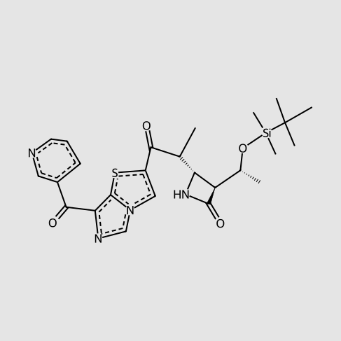 CC(C(=O)c1cn2cnc(C(=O)c3cccnc3)c2s1)[C@H]1NC(=O)[C@@H]1[C@@H](C)O[Si](C)(C)C(C)(C)C